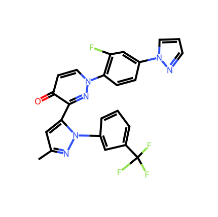 Cc1cc(-c2nn(-c3ccc(-n4cccn4)cc3F)ccc2=O)n(-c2cccc(C(F)(F)F)c2)n1